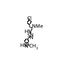 CN[C@@H](CNc1nnc(-c2ccc3[nH]nc(C)c3c2)s1)Cc1ccc(Cl)cc1